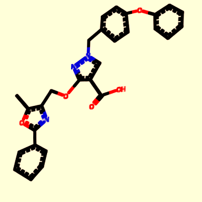 Cc1oc(-c2ccccc2)nc1COc1nn(Cc2ccc(Oc3ccccc3)cc2)cc1C(=O)O